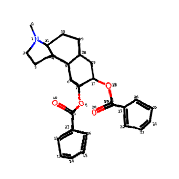 CN1CCC2C3CC(OC(=O)c4ccccc4)C(OC(=O)c4ccccc4)CC3CCC21